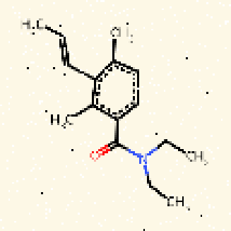 C/C=C/c1c(C)ccc(C(=O)N(CC)CC)c1C